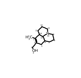 CC1=C(CO)CC2CCCN3CCCC1C23